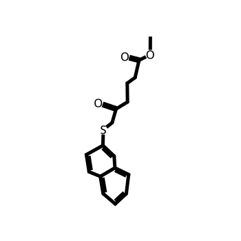 COC(=O)CCCC(=O)CSc1ccc2ccccc2c1